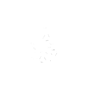 CC(C)(C)CN1CCC2(CC1)CN(c1ccccc1NNc1ccc(OC(F)F)cc1)c1c(O)ccc(C(F)(F)F)c12